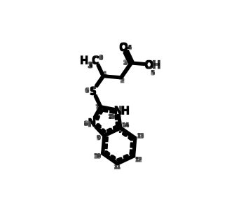 CC(CC(=O)O)Sc1nc2ccccc2[nH]1